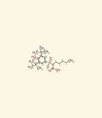 CCCCCC(C(=O)O)S(=O)(=O)c1cc(C(C)(C)C)c(O)c(C(C)(C)C)c1